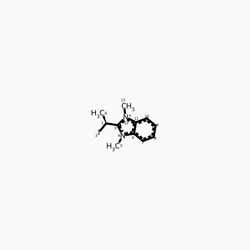 C[C@H](I)c1n(C)c2ccccc2[n+]1C